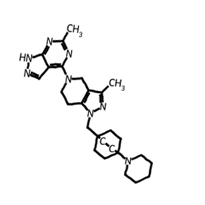 Cc1nc(N2CCc3c(c(C)nn3CC34CCC(N5CCCCC5)(CC3)CC4)C2)c2cn[nH]c2n1